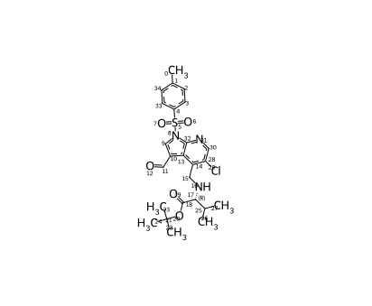 Cc1ccc(S(=O)(=O)n2cc(C=O)c3c(CN[C@@H](C(=O)OC(C)(C)C)C(C)C)c(Cl)cnc32)cc1